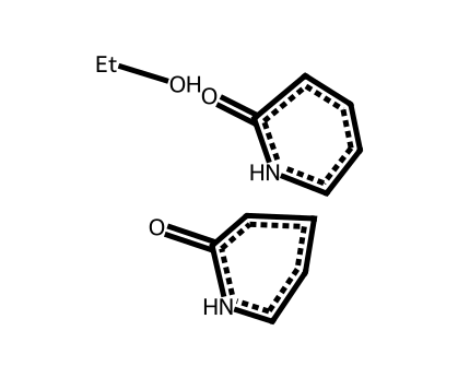 CCO.O=c1cccc[nH]1.O=c1cccc[nH]1